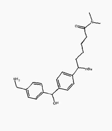 CCCCC(CCCCC(=O)N(C)C)c1ccc(C(O)c2ccc(CN)cc2)cc1